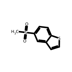 CS(=O)(=O)c1ccc2sccc2c1